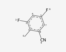 Cc1c(F)cc(F)cc1C#N